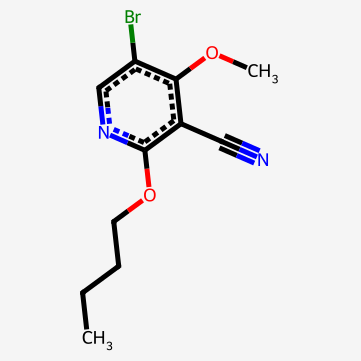 CCCCOc1ncc(Br)c(OC)c1C#N